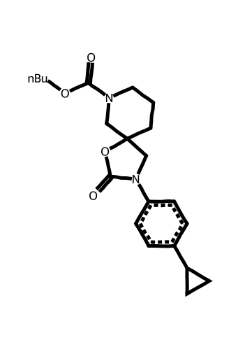 CCCCOC(=O)N1CCCC2(C1)CN(c1ccc(C3CC3)cc1)C(=O)O2